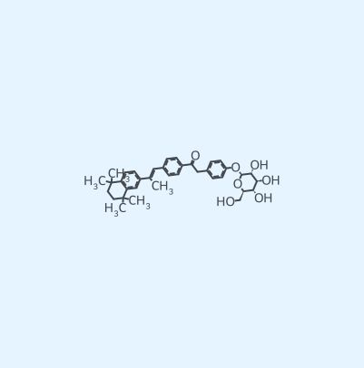 C/C(=C\c1ccc(C(=O)Cc2ccc(O[C@@H]3O[C@H](CO)[C@@H](O)[C@H](O)[C@H]3O)cc2)cc1)c1ccc2c(c1)C(C)(C)CCC2(C)C